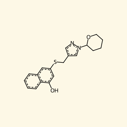 Oc1cc(SCc2cnn(C3CCCCO3)c2)cc2ccccc12